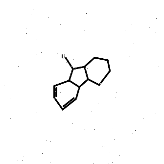 [Li][CH]1C2C=CC=CC2C2CCCCC12